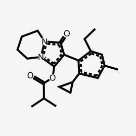 CCc1cc(C)cc(C2CC2)c1-c1c(OC(=O)C(C)C)n2n(c1=O)CCCC2